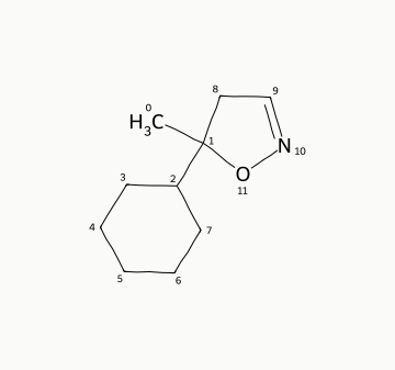 CC1(C2CCCCC2)CC=NO1